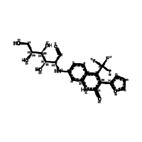 O=C[C@@H](Nc1ccc2c(C(F)(F)F)c(-c3ccco3)c(=O)[nH]c2c1)[C@H](O)[C@@H](O)[C@@H](O)CO